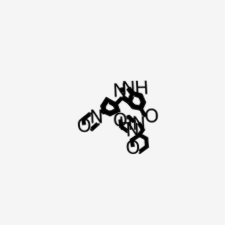 O=C(NCC1(N2CCOCC2)CCCOC1)c1ccc2[nH]nc(-c3ccc(N4CCOCC4)cc3)c2c1